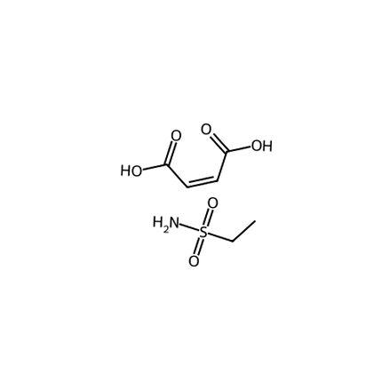 CCS(N)(=O)=O.O=C(O)/C=C\C(=O)O